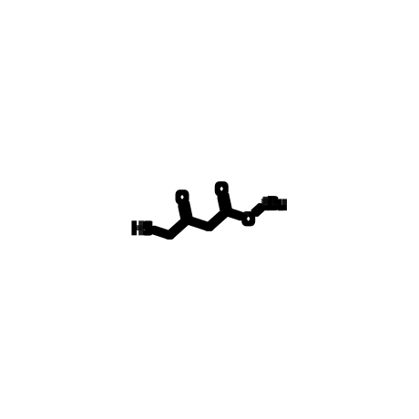 CC(C)(C)OC(=O)CC(=O)CS